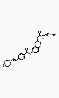 CCCCCOC(=O)CC1CCc2ccc(NC(=O)c3ccc(C=NN4CCOCC4)cc3)cc2C1